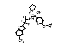 O=C(N[C@H](CN1CCCC1)[C@H](O)c1ccc(OC2CC2)nc1)C(F)(F)c1cc2cc(C(F)(F)F)ccc2o1